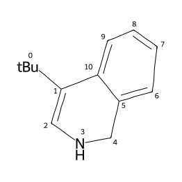 CC(C)(C)C1=CNCc2ccccc21